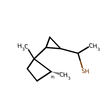 CC(S)C1CC1C1(C)CC[C@H]1C